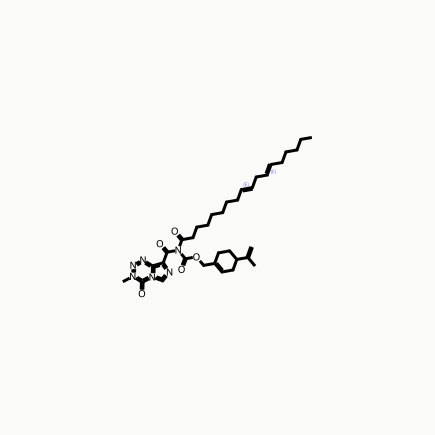 C=C(C)C1CC=C(COC(=O)N(C(=O)CCCCCCC/C=C/C/C=C/CCCCC)C(=O)c2ncn3c(=O)n(C)nnc23)CC1